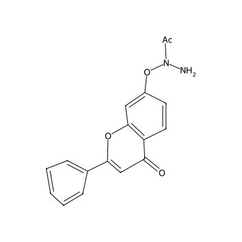 CC(=O)N(N)Oc1ccc2c(=O)cc(-c3ccccc3)oc2c1